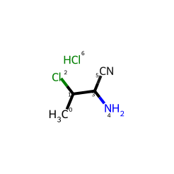 CC(Cl)C(N)C#N.Cl